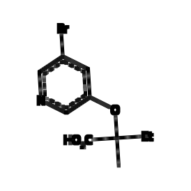 CCC(C)(Oc1cncc(Br)c1)C(=O)O